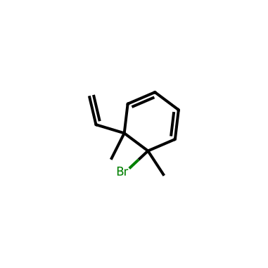 C=CC1(C)C=CC=CC1(C)Br